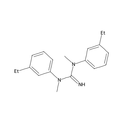 CCc1cccc(N(C)C(=N)N(C)c2cccc(CC)c2)c1